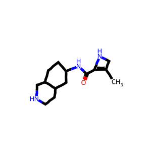 CC1=C(C(=O)NC2CCC3CNCCC3C2)NC1